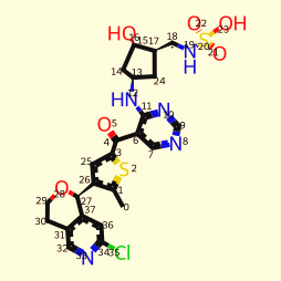 Cc1sc(C(=O)c2cncnc2N[C@H]2C[C@H](O)[C@@H]([CH]NS(=O)(=O)O)C2)cc1[C@@H]1OCCc2cnc(Cl)cc21